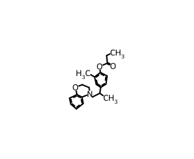 CCC(=O)Oc1ccc(C(C)CN2CCOc3ccccc32)cc1C